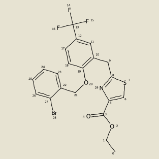 CCOC(=O)c1csc(Cc2cc(C(F)(F)F)ccc2OCc2ccccc2Br)n1